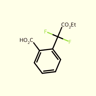 CCOC(=O)C(F)(F)c1ccccc1C(=O)O